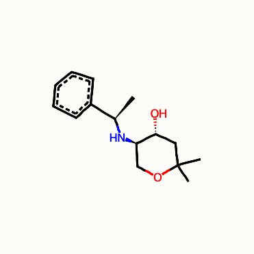 C[C@@H](N[C@@H]1COC(C)(C)C[C@H]1O)c1ccccc1